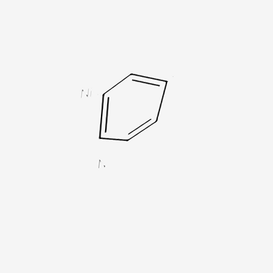 [Ni].[Ni].c1ccccc1